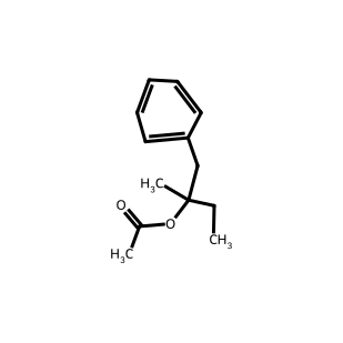 CCC(C)(Cc1ccccc1)OC(C)=O